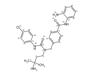 CC(C)(N)CCN(Cc1ccc(C(=O)Nc2ccccc2N)cc1)C(=O)Nc1ccc(Cl)cc1